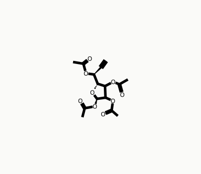 C#C[C@H](OC(C)=O)[C@H]1O[C@H](OC(C)=O)C(OC(C)=O)C1OC(C)=O